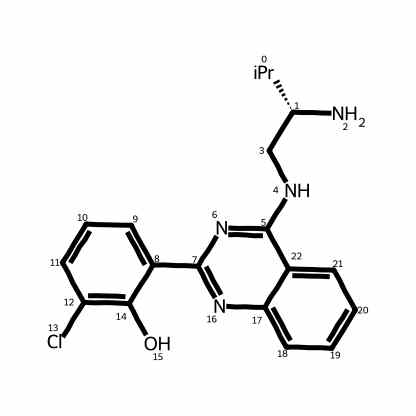 CC(C)[C@H](N)CNc1nc(-c2cccc(Cl)c2O)nc2ccccc12